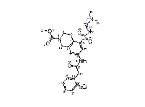 COC(=O)N1CCc2c(cc(NC(=O)Cc3ccccc3Cl)cc2S(=O)(=O)/N=C/N(C)C)C1